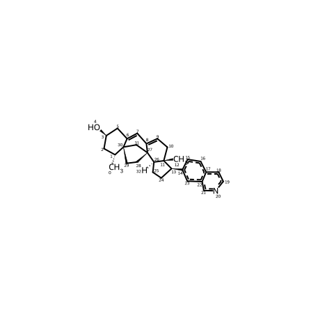 C[C@@H]1C[C@@H](O)CC2=CC3=CC[C@]4(C)[C@@H](c5ccc6ccncc6c5)CC[C@H]4[C@@]34CC[C@]21C4